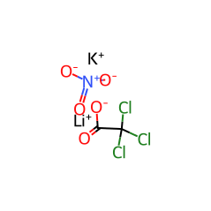 O=C([O-])C(Cl)(Cl)Cl.O=[N+]([O-])[O-].[K+].[Li+]